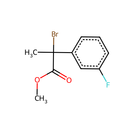 COC(=O)C(C)(Br)c1cccc(F)c1